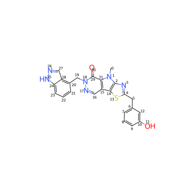 Cn1c2nc(Cc3cccc(O)c3)sc2c2cnn(Cc3cccc4[nH]ncc34)c(=O)c21